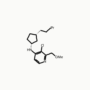 COCc1nccc(N[C@@H]2CC[C@H](CCC(C)C)C2)c1Cl